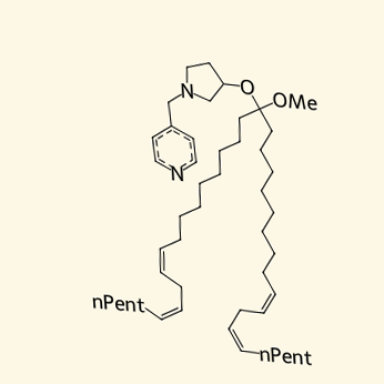 CCCCC/C=C\C/C=C\CCCCCCCCC(CCCCCCCC/C=C\C/C=C\CCCCC)(OC)OC1CCN(Cc2ccncc2)C1